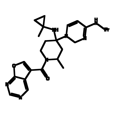 CC(C)NC1=NCN(C2(NC3(C)CC3)CCN(C(=O)c3coc4ncncc34)C(C)C2)C=C1